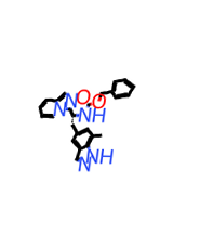 Cc1cc(C[C@@H](NC(=O)OCc2ccccc2)c2ncc3ccccn23)cc2cn[nH]c12